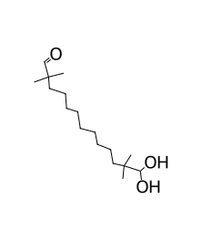 CC(C)(C=O)CCCCCCCCCC(C)(C)C(O)O